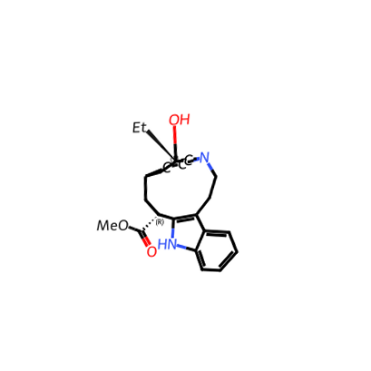 CC[C@]1(O)CC2CCN(CCc3c([nH]c4ccccc34)[C@H](C(=O)OC)C2)C1